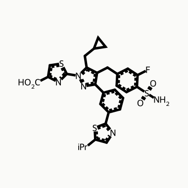 CC(C)c1cnc(-c2cccc(-c3nn(-c4nc(C(=O)O)cs4)c(CC4CC4)c3Cc3ccc(S(N)(=O)=O)c(F)c3)c2)s1